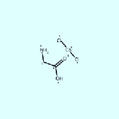 NCC(=O)O.[Cl][Co][Cl]